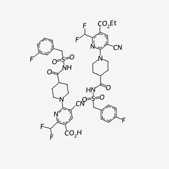 CCOC(=O)c1cc(C#N)c(N2CCC(C(=O)NS(=O)(=O)Cc3ccc(F)cc3)CC2)nc1C(F)F.N#Cc1cc(C(=O)O)c(C(F)F)nc1N1CCC(C(=O)NS(=O)(=O)Cc2cccc(F)c2)CC1